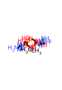 CN(C)P1(=O)OCC2OC(n3cnc4c(N)ncnc43)C(O)C2OP(O)OCC2OC(n3cnc4c(=O)[nH]c(N)nc43)C(O1)C2O